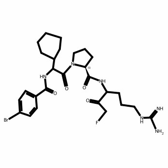 N=C(N)NCCCC(NC(=O)[C@@H]1CCCN1C(=O)C(NC(=O)c1ccc(Br)cc1)C1CCCCC1)C(=O)CF